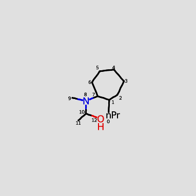 CCCC1CCCCCC1N(C)C(C)O